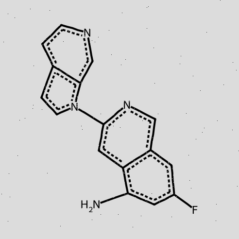 Nc1cc(F)cc2cnc(-n3ccc4ccncc43)cc12